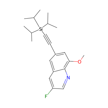 COc1cc(C#C[Si](C(C)C)(C(C)C)C(C)C)cc2cc(F)cnc12